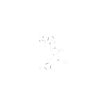 CCCS(=O)(=O)Nc1cccn([C@@H](CC)C(=O)NC(CC(=O)O)C(=O)COc2c(F)c(F)cc(F)c2F)c1=O